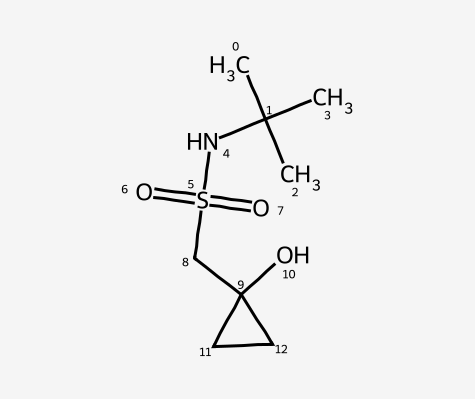 CC(C)(C)NS(=O)(=O)CC1(O)CC1